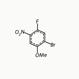 COc1cc([N+](=O)[O-])c(F)cc1Br